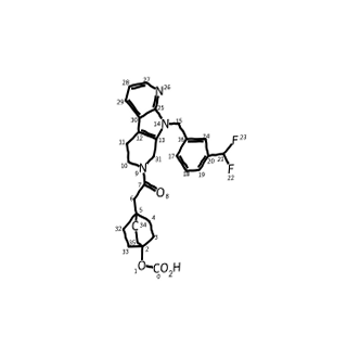 O=C(O)OC12CCC(CC(=O)N3CCc4c(n(Cc5cccc(C(F)F)c5)c5ncccc45)C3)(CC1)CC2